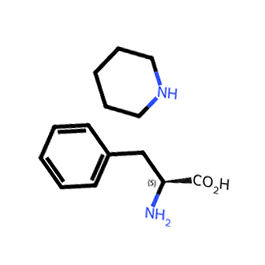 C1CCNCC1.N[C@@H](Cc1ccccc1)C(=O)O